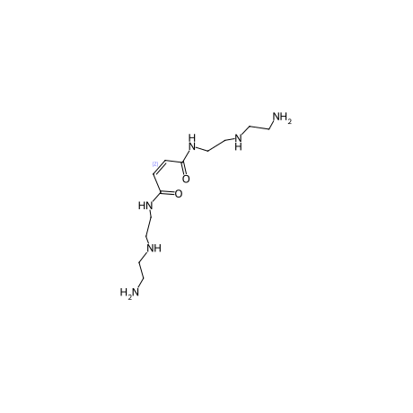 NCCNCCNC(=O)/C=C\C(=O)NCCNCCN